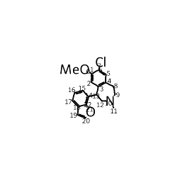 COc1cc2c(cc1Cl)CCN(C)CC2c1cccc2ccoc12